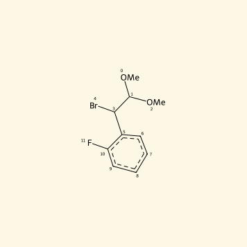 COC(OC)C(Br)c1ccccc1F